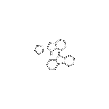 c1ccc2[nH]ccc2c1.c1ccc2c(c1)[nH]c1ccccc12.c1ccsc1